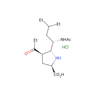 CCC(=O)[C@@H]1C[C@H](C(=O)O)N[C@H]1[C@H](CC(CC)CC)NC(C)=O.Cl